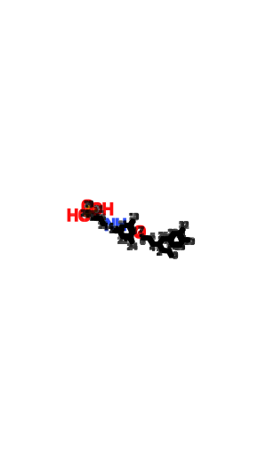 CCCC(CCCOc1c(C)cc(CNCCCP(=O)(O)O)cc1C)Cc1ccc(C)c(C)c1